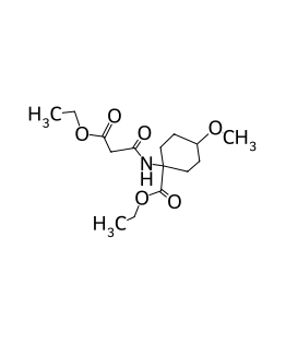 CCOC(=O)CC(=O)NC1(C(=O)OCC)CCC(OC)CC1